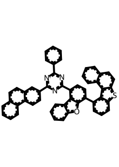 c1ccc(-c2nc(-c3ccc4c(ccc5ccccc54)c3)nc(-c3ccc(-c4cccc5sc6ccc7ccccc7c6c45)c4oc5ccccc5c34)n2)cc1